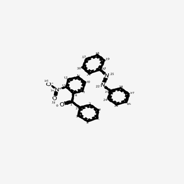 O=C(c1ccccc1)c1ccccc1[N+](=O)[O-].c1ccc(N=Nc2ccccc2)cc1